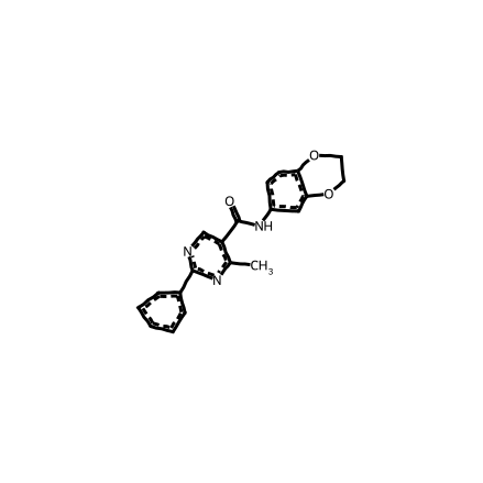 Cc1nc(-c2ccccc2)ncc1C(=O)Nc1ccc2c(c1)OCCO2